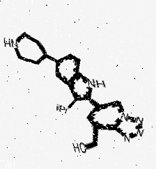 CC(C)c1c(-c2cc(CO)c3nnnn3c2)[nH]c2ccc(C3CCNCC3)cc12